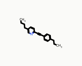 CCCCc1ccc(C#Cc2ccc(CCC)cc2)nc1